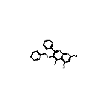 Clc1cc(Cl)c2c(Cl)c(OCc3ccccc3)c(-c3ccccc3)nc2c1